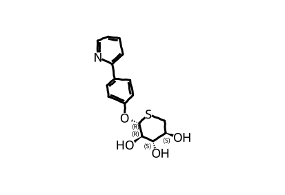 O[C@@H]1[C@@H](O)[C@H](Oc2ccc(-c3ccccn3)cc2)SC[C@H]1O